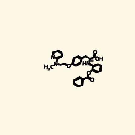 CN(CCOc1ccc(C[C@H](Nc2ccccc2OC(=O)c2ccccc2)C(=O)O)cc1)c1ccccn1